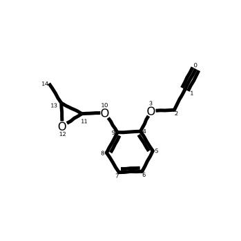 C#CCOc1ccccc1OC1OC1C